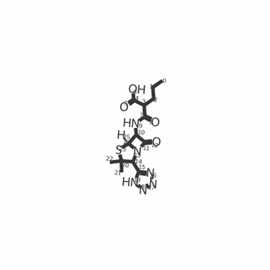 CCCC(C(=O)O)C(=O)NC1C(=O)N2C(c3nnn[nH]3)C(C)(C)S[C@@H]12